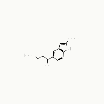 CCOC(=O)c1cc2cc(C(O)CCC(=O)O)ccc2[nH]1